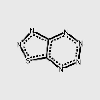 n1nnc2snnc2n1